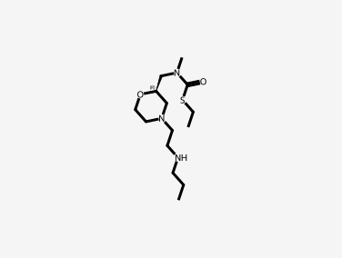 CCCNCCN1CCO[C@@H](CN(C)C(=O)SCC)C1